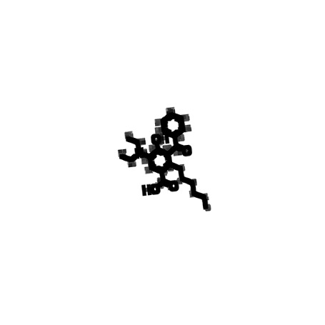 CCCCCCc1c(C(=O)O)cc(N(CC)CC)c(O)c1C(=O)c1ccccc1